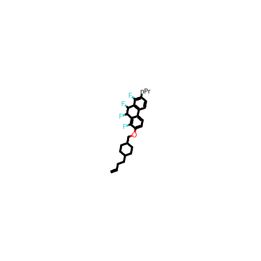 C=CCCC1CCC(COc2ccc3c(c2F)C(F)C(F)c2c-3ccc(CCC)c2F)CC1